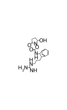 N=C(N)NCCCC1c2cccc(c2)C1NC(=O)ON1C(=O)CCC1O